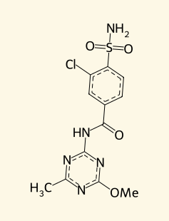 COc1nc(C)nc(NC(=O)c2ccc(S(N)(=O)=O)c(Cl)c2)n1